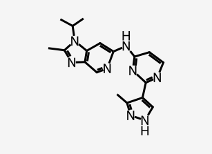 Cc1n[nH]cc1-c1nccc(Nc2cc3c(cn2)nc(C)n3C(C)C)n1